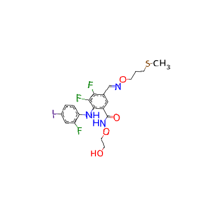 CSCCCON=Cc1cc(C(=O)NOCCO)c(Nc2ccc(I)cc2F)c(F)c1F